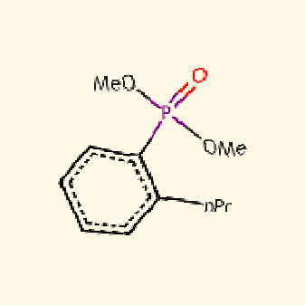 CCCc1ccccc1P(=O)(OC)OC